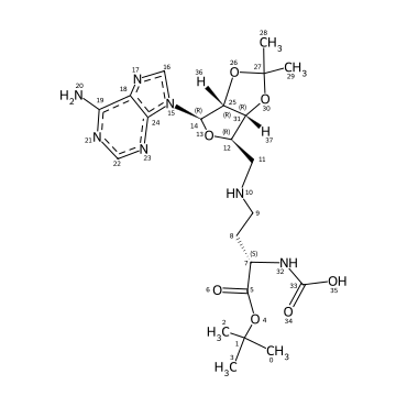 CC(C)(C)OC(=O)[C@H](CCNC[C@H]1O[C@@H](n2cnc3c(N)ncnc32)[C@@H]2OC(C)(C)O[C@@H]21)NC(=O)O